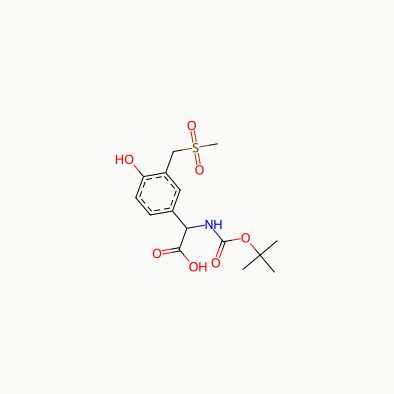 CC(C)(C)OC(=O)NC(C(=O)O)c1ccc(O)c(CS(C)(=O)=O)c1